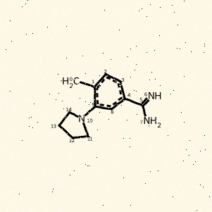 [CH2]c1ccc(C(=N)N)cc1N1CCCC1